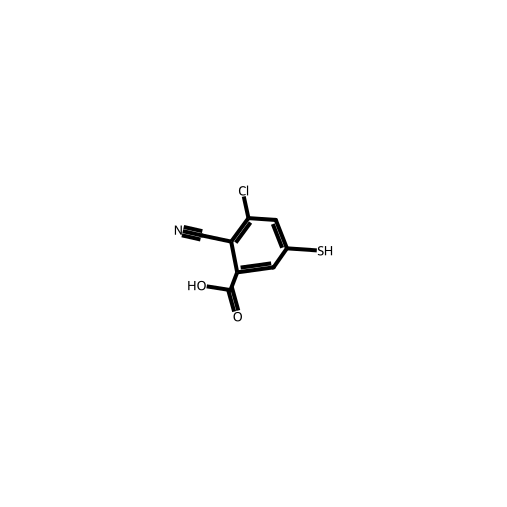 N#Cc1c(Cl)cc(S)cc1C(=O)O